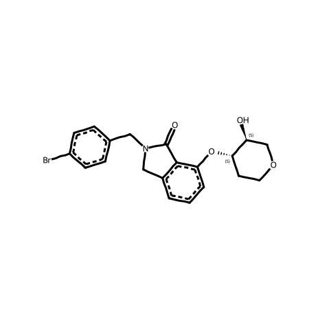 O=C1c2c(cccc2O[C@H]2CCOC[C@@H]2O)CN1Cc1ccc(Br)cc1